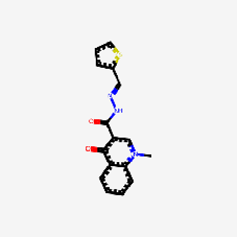 Cn1cc(C(=O)NN=Cc2cccs2)c(=O)c2ccccc21